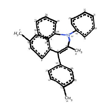 CC(=C(c1ccc(C)cc1)c1ccc(C)cc1)N(c1ccccc1)c1ccccc1